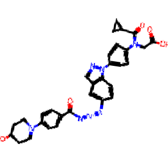 O=C(O)CN(C(=O)C1CC1)c1ccc(-n2ncc3cc(N=[N+]=NC(=O)c4ccc(N5CCC(O)CC5)cc4)ccc32)cc1